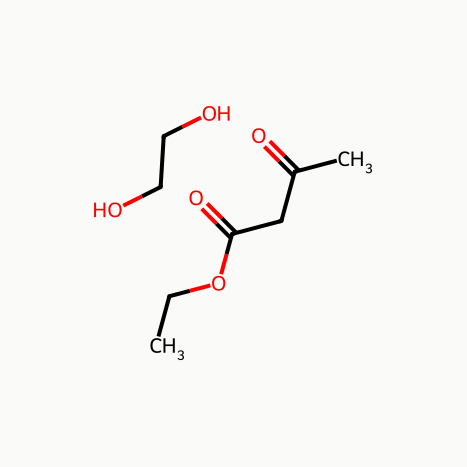 CCOC(=O)CC(C)=O.OCCO